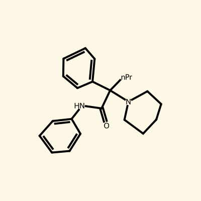 CCCC(C(=O)Nc1ccccc1)(c1ccccc1)N1CCCCC1